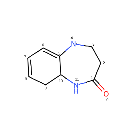 O=C1CC[N]C2=CC=CCC2N1